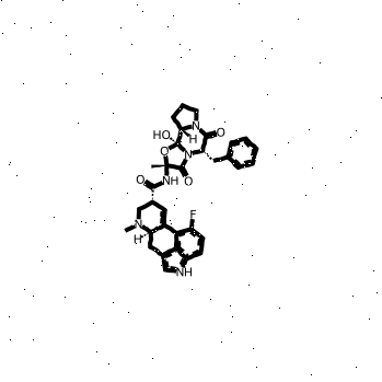 CN1C[C@H](C(=O)N[C@]2(C)O[C@@]3(O)[C@@H]4CCCN4C(=O)[C@H](Cc4ccccc4)N3C2=O)C=C2c3c(F)ccc4[nH]cc(c34)C[C@H]21